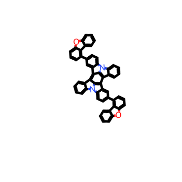 c1ccc2c(c1)oc1cccc(-c3ccc4c(c3)c3c5c6ccccc6n6c7ccc(-c8cccc9oc%10ccccc%10c89)cc7c(c7c8ccccc8n4c73)c56)c12